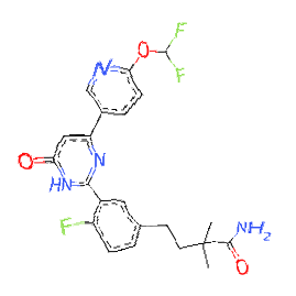 CC(C)(CCc1ccc(F)c(-c2nc(-c3ccc(OC(F)F)nc3)cc(=O)[nH]2)c1)C(N)=O